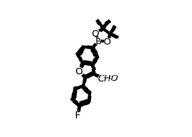 CC1(C)OB(c2ccc3oc(-c4ccc(F)cc4)c(C=O)c3c2)OC1(C)C